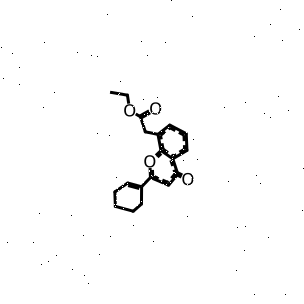 CCOC(=O)Cc1cccc2c(=O)cc(C3=CCCCC3)oc12